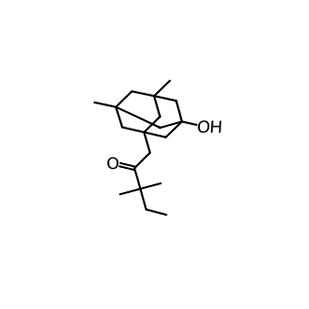 CCC(C)(C)C(=O)CC12CC3(C)CC(C)(CC(O)(C3)C1)C2